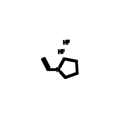 C=CN1CCCC1.F.F